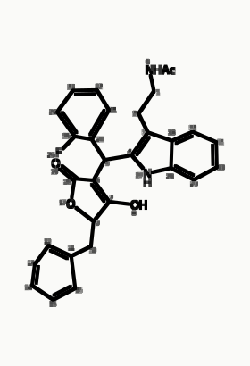 CC(=O)NCCc1c(C(C2=C(O)C(Cc3ccccc3)OC2=O)c2ccccc2F)[nH]c2ccccc12